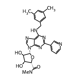 CNC(=O)[C@H]1O[C@@H](n2cnc3c(NCc4cc(C)cc(C)c4)nc(-c4cccnc4)nc32)[C@H](O)[C@@H]1O